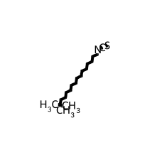 CC(C)(C)CCCCCCCCCCCCCCN=C=S